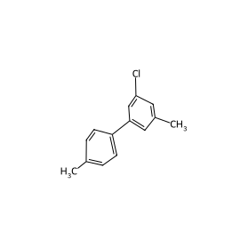 Cc1ccc(-c2cc(C)cc(Cl)c2)cc1